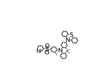 Cc1cc(S(=O)(=O)c2cccnc2)ccc1N1c2ccccc2C(C)(C)c2cc(N3c4ccccc4Sc4ccccc43)ccc21